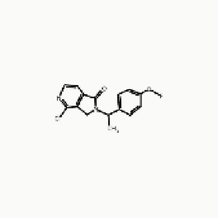 CC(c1ccc(OF)cc1)N1Cc2c(ccnc2Cl)C1=O